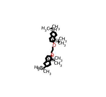 C[SiH](C)c1ccc2c([SiH](C)C)c(OCCCOc3ccc4cc([SiH](C)C)ccc4c3[SiH](C)C)ccc2c1